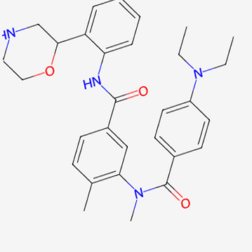 CCN(CC)c1ccc(C(=O)N(C)c2cc(C(=O)Nc3ccccc3C3CNCCO3)ccc2C)cc1